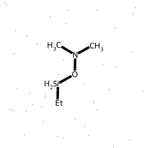 CC[SiH2]ON(C)C